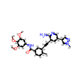 COc1cc(NC(=O)c2ccc(C)c(C#Cc3cc(-c4cnn(C)c4)cnc3N)c2)cc(OC)c1OC